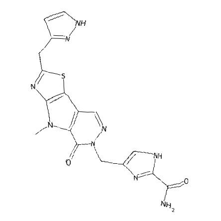 Cn1c2nc(Cc3cc[nH]n3)sc2c2cnn(Cc3c[nH]c(C(N)=O)n3)c(=O)c21